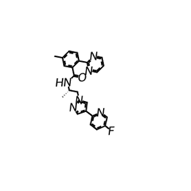 Cc1ccc(-c2ncccn2)c(C(=O)N[C@@H](C)Cn2cc(-c3ccc(F)cn3)cn2)c1